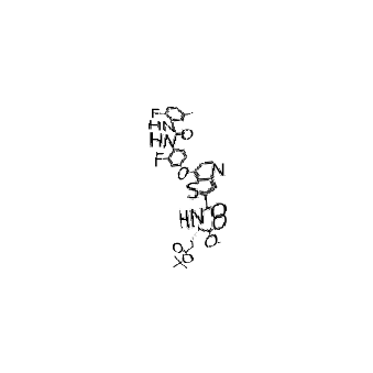 COC(=O)[C@H](CCC(=O)OC(C)(C)C)NC(=O)c1cc2nccc(Oc3ccc(NC(=O)Nc4cc(C)ccc4F)c(F)c3)c2s1